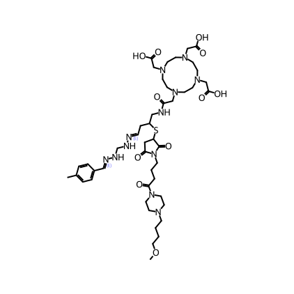 COCCCCN1CCN(C(=O)CCCN2C(=O)CC(SC(C/C=N/NCN/N=C/c3ccc(C)cc3)CNC(=O)CN3CCN(CC(=O)O)CCN(CC(=O)O)CCN(CC(=O)O)CC3)C2=O)CC1